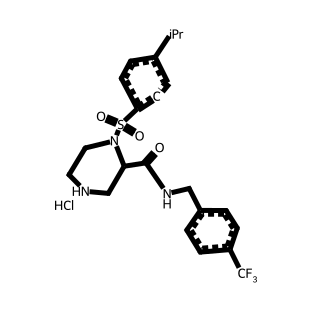 CC(C)c1ccc(S(=O)(=O)N2CCNCC2C(=O)NCc2ccc(C(F)(F)F)cc2)cc1.Cl